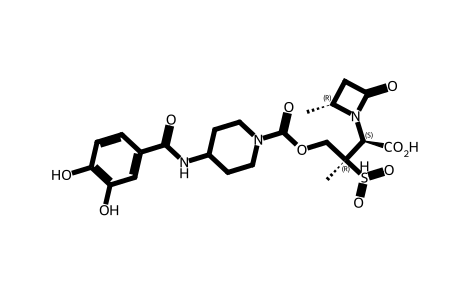 C[C@@H]1CC(=O)N1[C@@H](C(=O)O)[C@](C)(COC(=O)N1CCC(NC(=O)c2ccc(O)c(O)c2)CC1)[SH](=O)=O